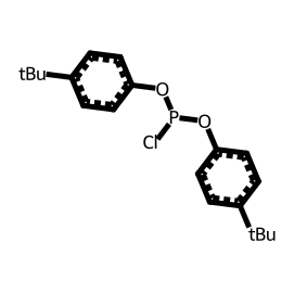 CC(C)(C)c1ccc(OP(Cl)Oc2ccc(C(C)(C)C)cc2)cc1